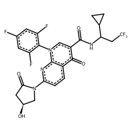 O=C(NC(CC(F)(F)F)C1CC1)c1cn(-c2c(F)cc(F)cc2F)c2nc(N3C[C@@H](O)CC3=O)ccc2c1=O